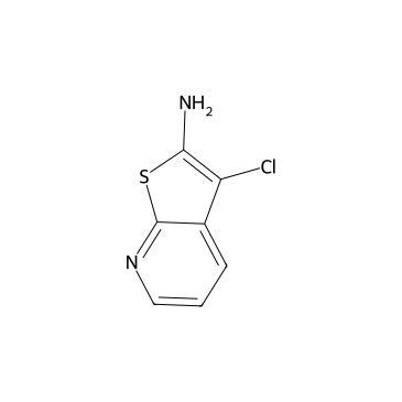 Nc1sc2ncccc2c1Cl